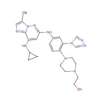 N#Cc1cnc2c(NC3CC3)cc(Nc3ccc(N4CCN(CCO)CC4)c(-n4cnnc4)c3)nn12